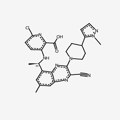 Cc1cc([C@@H](C)Nc2ccc(Cl)nc2C(=O)O)c2nc(N3CCC(c4ccnn4C)CC3)c(C#N)nc2c1